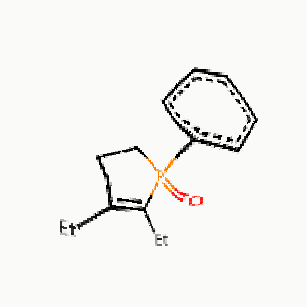 CCC1=C(CC)P(=O)(c2ccccc2)CC1